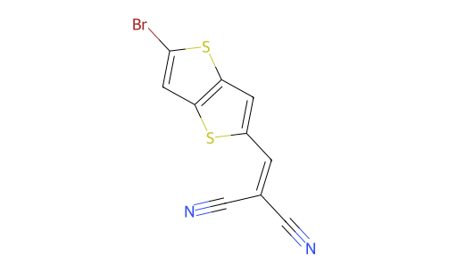 N#CC(C#N)=Cc1cc2sc(Br)cc2s1